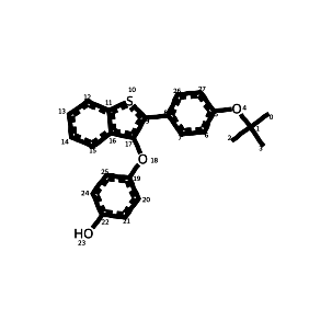 CC(C)(C)Oc1ccc(-c2sc3ccccc3c2Oc2ccc(O)cc2)cc1